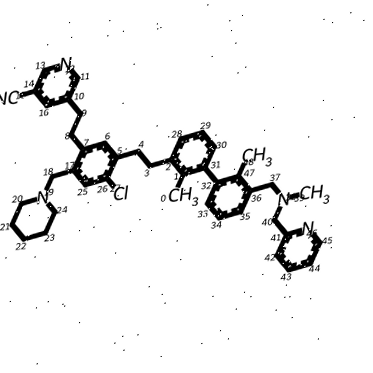 Cc1c(CCc2cc(CCc3cncc(C#N)c3)c(CN3CCCCC3)cc2Cl)cccc1-c1cccc(CN(C)Cc2ccccn2)c1C